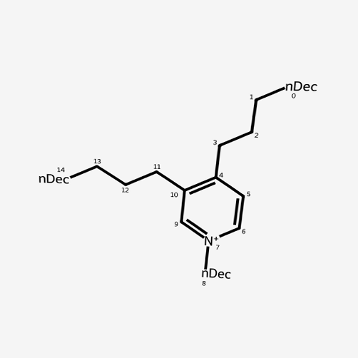 CCCCCCCCCCCCCc1cc[n+](CCCCCCCCCC)cc1CCCCCCCCCCCCC